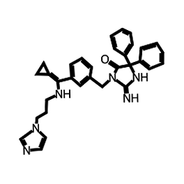 N=C1NC(c2ccccc2)(c2ccccc2)C(=O)N1Cc1cccc(C(NCCCn2ccnc2)=C2CC2)c1